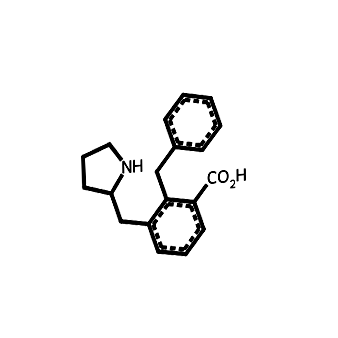 O=C(O)c1cccc(CC2CCCN2)c1Cc1ccccc1